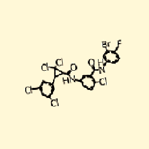 O=C(Nc1ccc(F)c(Br)c1)c1cc(NC(=O)C2C(c3cc(Cl)cc(Cl)c3)C2(Cl)Cl)ccc1Cl